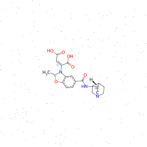 CC1Oc2ccc(C(=O)N[C@H]3CN4CCC3CC4)cc2N1/C(=C/C(=O)O)C(=O)O